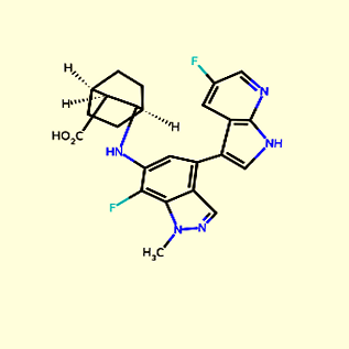 Cn1ncc2c(-c3c[nH]c4ncc(F)cc34)cc(NC3[C@H]4CC[C@H](CC4)[C@@H]3C(=O)O)c(F)c21